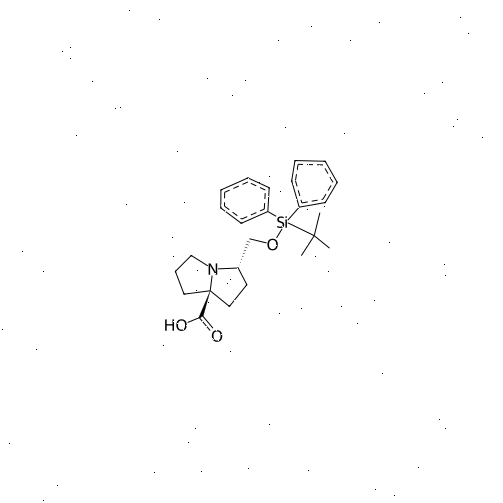 CC(C)(C)[Si](OC[C@@H]1CC[C@]2(C(=O)O)CCCN12)(c1ccccc1)c1ccccc1